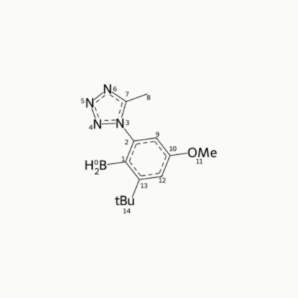 Bc1c(-n2nnnc2C)cc(OC)cc1C(C)(C)C